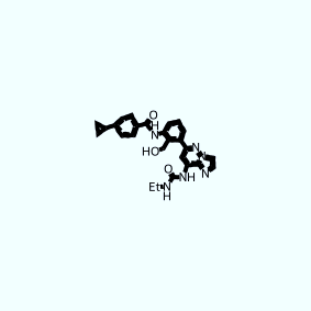 CCNC(=O)Nc1cc(-c2cccc(NC(=O)c3ccc(C4CC4)cc3)c2CO)nn2ccnc12